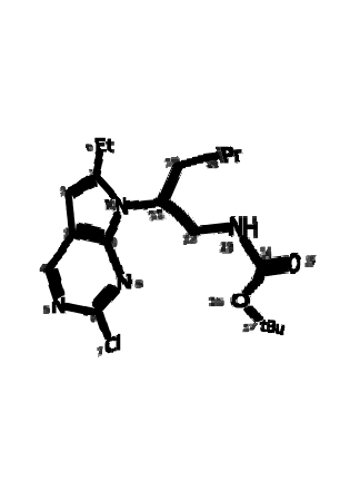 CCc1cc2cnc(Cl)nc2n1C(CNC(=O)OC(C)(C)C)CC(C)C